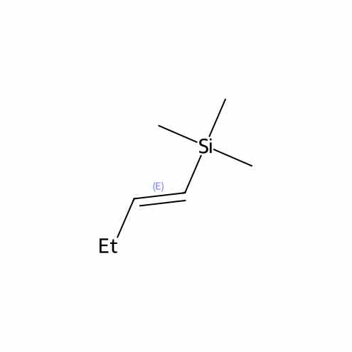 CC/C=C/[Si](C)(C)C